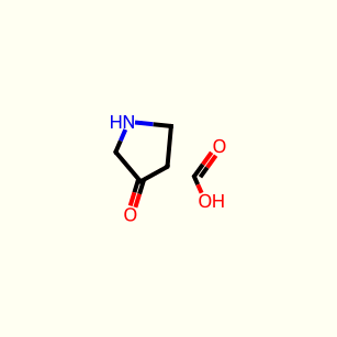 O=C1CCNC1.O=CO